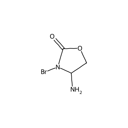 NC1COC(=O)N1Br